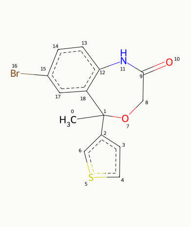 CC1(c2ccsc2)OCC(=O)Nc2ccc(Br)cc21